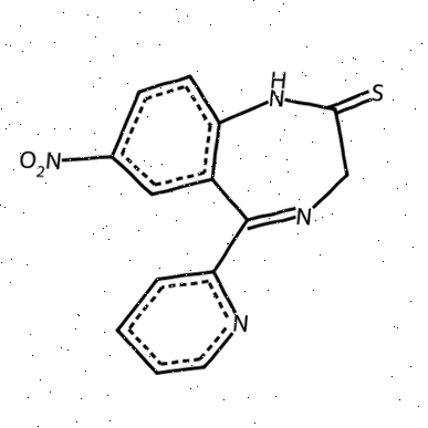 O=[N+]([O-])c1ccc2c(c1)C(c1ccccn1)=NCC(=S)N2